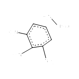 CCCCCN.O=[N+]([O-])c1cccc([N+](=O)[O-])c1[N+](=O)[O-]